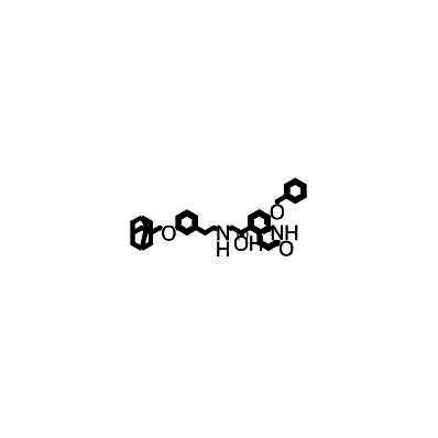 O=c1ccc2c([C@@H](O)CNCCc3cccc(OCC45CC6CC(CC(C6)C4)C5)c3)ccc(OCc3ccccc3)c2[nH]1